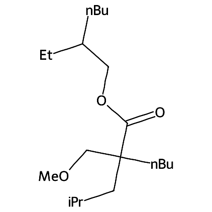 CCCCC(CC)COC(=O)C(CCCC)(COC)CC(C)C